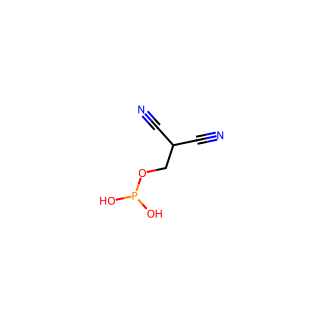 N#CC(C#N)COP(O)O